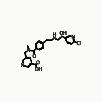 CN(Cc1cncc(C(=O)O)c1)C(=O)c1ccc(CCNC[C@H](O)c2ccc(Cl)nc2)cc1